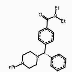 CCCN1CCN([C@@H](c2c[c]ccc2)c2ccc(C(=O)N(CC)CC)cc2)CC1